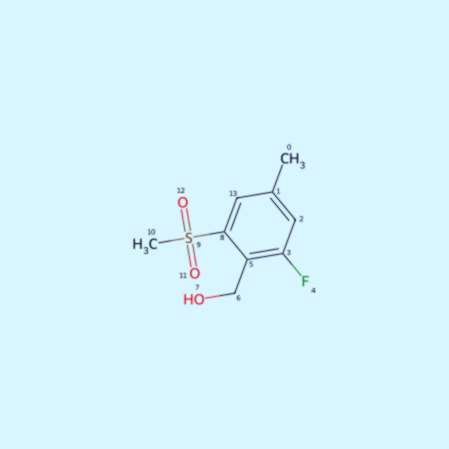 Cc1cc(F)c(CO)c(S(C)(=O)=O)c1